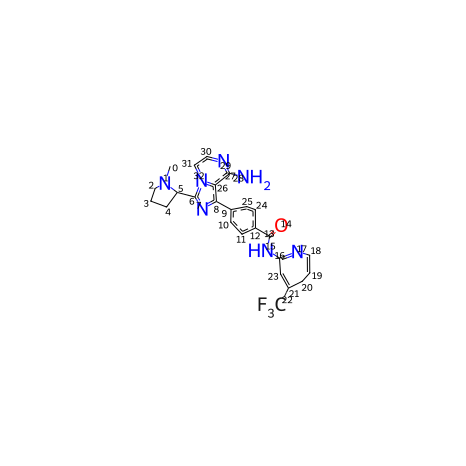 CN1CCCC1c1nc(-c2ccc(C(=O)NC3=NC=CCC(C(F)(F)F)=C3)cc2)c2c(N)nccn12